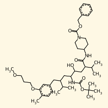 COCCCOc1cc(CC(CC(NC(=O)OC(C)(C)C)C(O)CC(C(=O)NC2CCN(C(=O)OCc3ccccc3)CC2)C(C)C)C(C)C)ccc1C